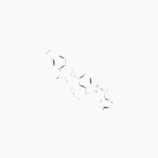 CCNCCN(C)c1cc(OC)ccc1CNc1cc(Cl)c(S(=O)(=O)Nc2ncns2)cc1F